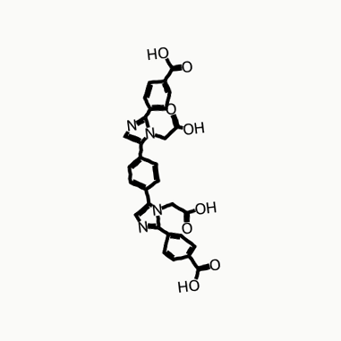 O=C(O)Cn1c(-c2ccc(-c3cnc(-c4ccc(C(=O)O)cc4)n3CC(=O)O)cc2)cnc1-c1ccc(C(=O)O)cc1